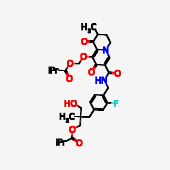 CC(C)C(=O)OCOc1c2n(cc(C(=O)NCc3ccc(CC(C)(CO)COC(=O)C(C)C)cc3F)c1=O)CCC(C)C2=O